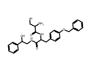 CC(C)CC(N)C(=O)NC(Cc1ccc(OCc2ccccc2)cc1)C(=O)NCC(O)c1ccccc1